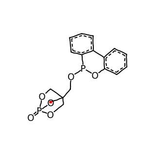 O=P12OCC(COP3Oc4ccccc4-c4ccccc43)(CO1)CO2